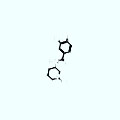 CN1CCC[C@@H](NC(=O)c2ccc(F)c(F)c2)C1